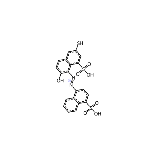 O=S(=O)(O)c1ccc(/N=N/c2c(O)ccc3cc(S)cc(S(=O)(=O)O)c23)c2ccccc12